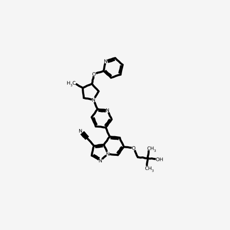 CC1CN(c2ccc(-c3cc(OCC(C)(C)O)cn4ncc(C#N)c34)cn2)CC1Oc1ccccn1